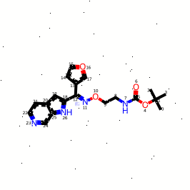 CC(C)(C)OC(=O)NCCO/N=C(\c1ccoc1)c1cc2ccncc2[nH]1